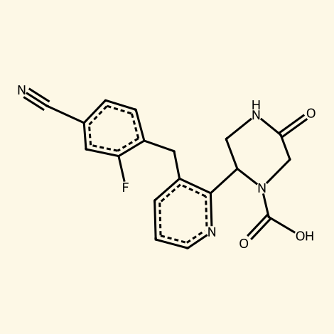 N#Cc1ccc(Cc2cccnc2C2CNC(=O)CN2C(=O)O)c(F)c1